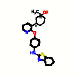 C[C@@]1(O)CCC[C@@H](c2cccnc2Oc2ccc(Nc3nc4ccccc4s3)cc2)C1